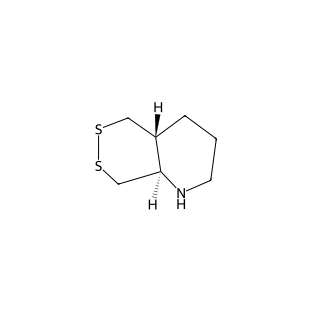 C1CN[C@H]2CSSC[C@@H]2C1